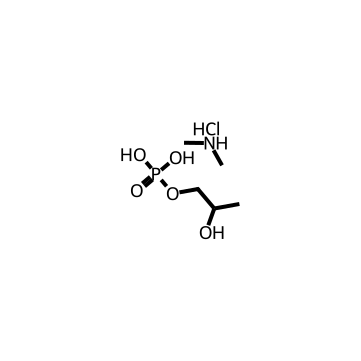 CC(O)COP(=O)(O)O.CNC.Cl